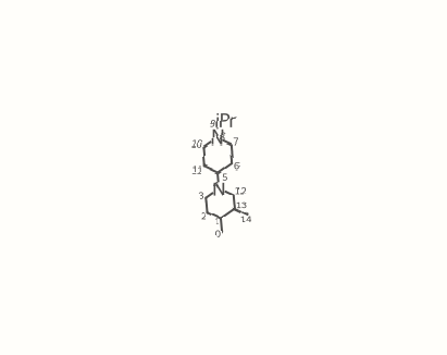 CC1CCN(C2CCN(C(C)C)CC2)CC1C